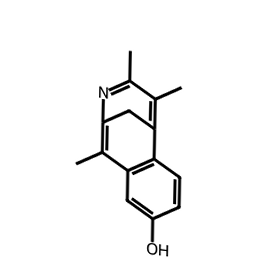 CC1=NC2=C(C)c3cc(O)ccc3C(=C1C)C2